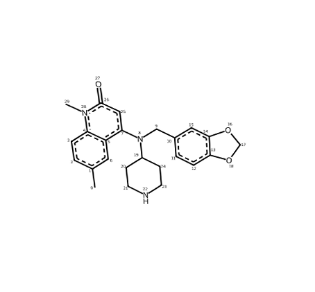 Cc1ccc2c(c1)c(N(Cc1ccc3c(c1)OCO3)C1CCNCC1)cc(=O)n2C